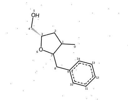 CC1C[C@@H](CO)OC1Cc1ccccc1